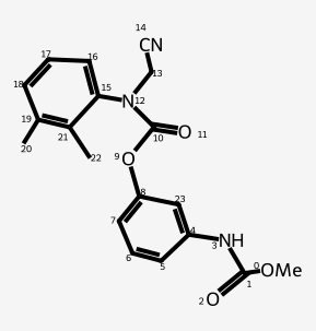 COC(=O)Nc1cccc(OC(=O)N(CC#N)c2cccc(C)c2C)c1